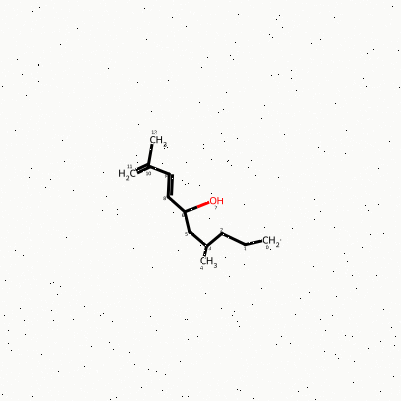 [CH2]CCC(C)CC(O)/C=C/C(=C)C